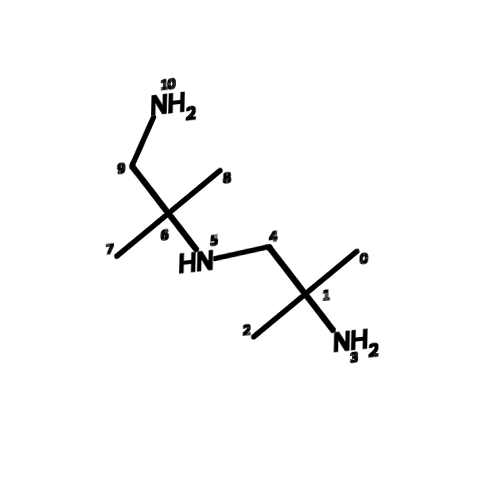 CC(C)(N)CNC(C)(C)CN